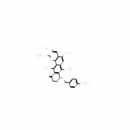 C/C=C/c1c(C)cc2c(OC)c3c(c(O)c2c1OCOC)C(=O)CC[C@@H]3OCc1ccc(OC)cc1